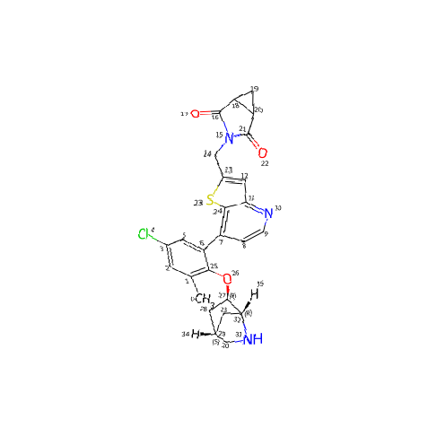 Cc1cc(Cl)cc(-c2ccnc3cc(CN4C(=O)C5CC5C4=O)sc23)c1O[C@@H]1C[C@H]2CN[C@@H]1C2